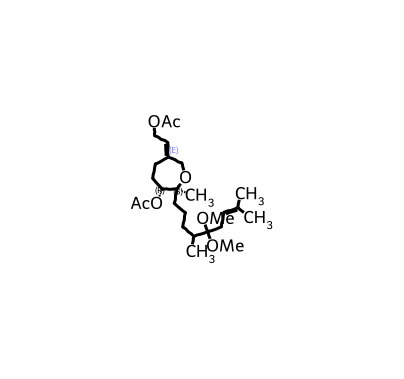 COC(CC=C(C)C)(OC)C(C)CCC[C@]1(C)OC/C(=C/COC(C)=O)CC[C@H]1OC(C)=O